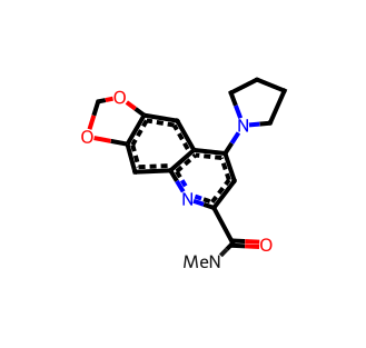 CNC(=O)c1cc(N2CCCC2)c2cc3c(cc2n1)OCO3